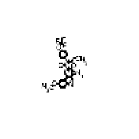 CCC(=O)N(C(=O)N(CC)Cc1c(F)cnc2ccc(OC)cc12)c1ccc(OC(F)(F)F)cc1